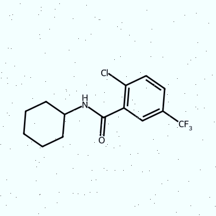 O=C(NC1CCCCC1)c1cc(C(F)(F)F)ccc1Cl